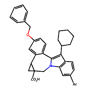 CC(=O)c1ccc2c(C3CCCCC3)c3n(c2c1)CC1(C(=O)O)CC1c1cc(OCc2ccccc2)ccc1-3